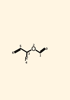 C=COC(F)C=C